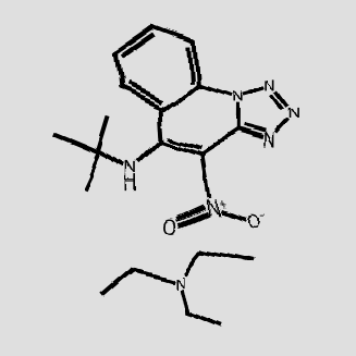 CC(C)(C)Nc1c([N+](=O)[O-])c2nnnn2c2ccccc12.CCN(CC)CC